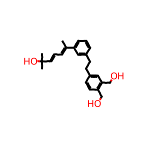 CC(=CC=CC(C)(C)O)c1cccc(CCc2ccc(CO)c(CO)c2)c1